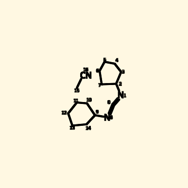 C(=NC1CCCCC1)=NC1CCCCC1.CC#N